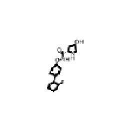 O=C(NOc1ccc(-c2ccccc2F)cc1)[C@@H]1C[C@@H](O)CN1